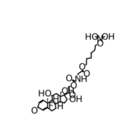 C[C@]12C=CC(=O)C=C1CC[C@H]1[C@@H]3C[C@@H](O)[C@](O)(C(=O)COC(=O)NCC(=O)OCCCCCCON(O)O)[C@@]3(C)C[C@H](O)[C@@]12F